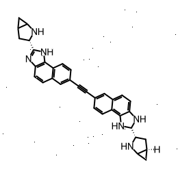 C(#Cc1ccc2c(ccc3nc([C@@H]4CC5CC5N4)[nH]c32)c1)c1ccc2c3c(ccc2c1)NC([C@@H]1C[C@H]2CC2N1)N3